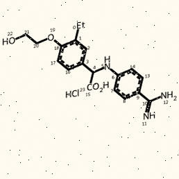 CCc1cc(C(Nc2ccc(C(=N)N)cc2)C(=O)O)ccc1OCCO.Cl